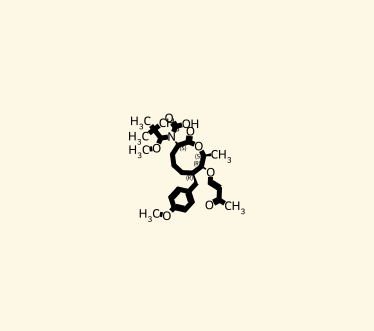 COc1ccc(C[C@H]2CCC[C@H](N(C(=O)O)C(OC)C(C)(C)C)C(=O)O[C@@H](C)[C@@H]2OC=CC(C)=O)cc1